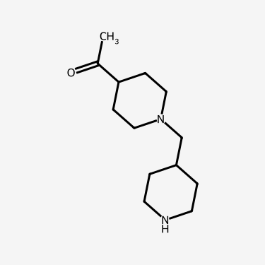 CC(=O)C1CCN(CC2CCNCC2)CC1